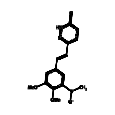 COc1cc(/C=C/c2ccc(=O)[nH]n2)cc([S+](C)[O-])c1OC